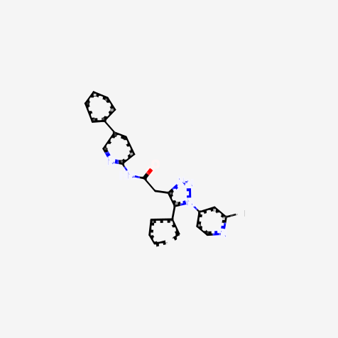 O=C(Cc1nnn(-c2ccnc(C(F)(F)F)c2)c1-c1ccccc1)Nc1ccc(-c2ccccc2)cn1